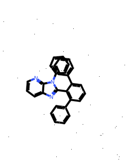 c1ccc(-c2cccc(-c3ccccc3)c2-c2nc3cccnc3n2-c2ccccc2)cc1